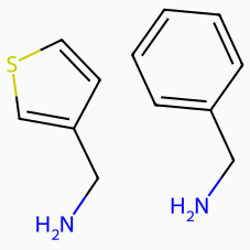 NCc1ccccc1.NCc1ccsc1